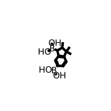 CC1C(B(O)O)c2cc(B(O)O)ccc2C1(C)C